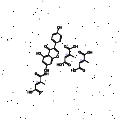 C/C(=C\C(=O)O)C(=O)O.C/C(=C\C(=O)O)C(=O)O.C/C(=C\C(=O)O)C(=O)O.O=c1c(-c2ccc(O)cc2)coc2cc(O)cc(O)c12